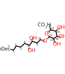 CCCCCCCCCCCCCC[C@@H](O)[C@@H](O)CCOC1OC(C(=O)O)C(O)C(O)C1O